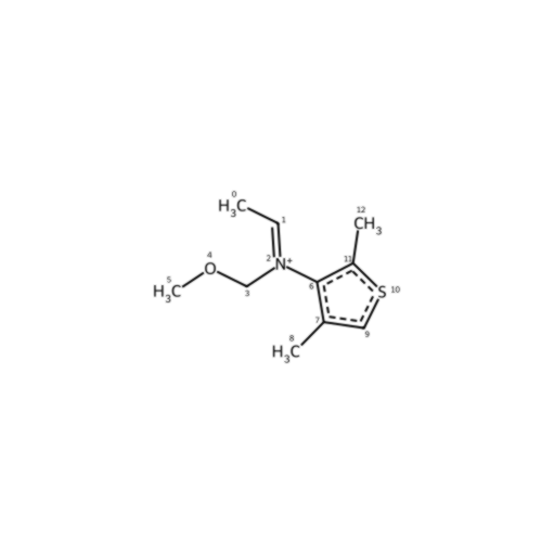 CC=[N+](COC)c1c(C)csc1C